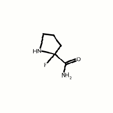 NC(=O)C1(F)CCCN1